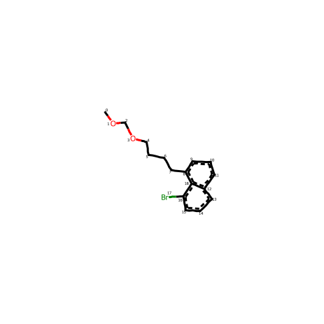 COCOCCCCc1cccc2cccc(Br)c12